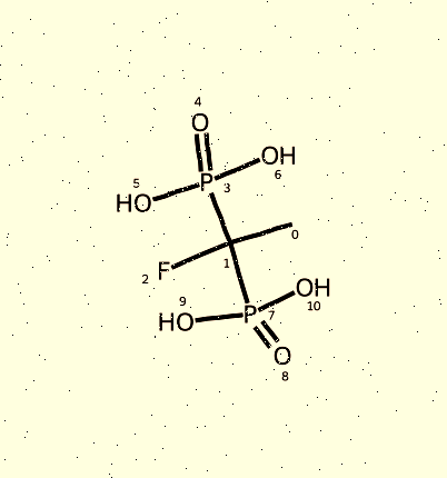 CC(F)(P(=O)(O)O)P(=O)(O)O